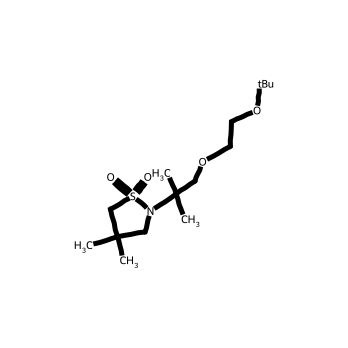 CC1(C)CN(C(C)(C)COCCOC(C)(C)C)S(=O)(=O)C1